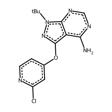 CC(C)(C)n1nc(Oc2ccnc(Cl)c2)c2c(N)ncnc21